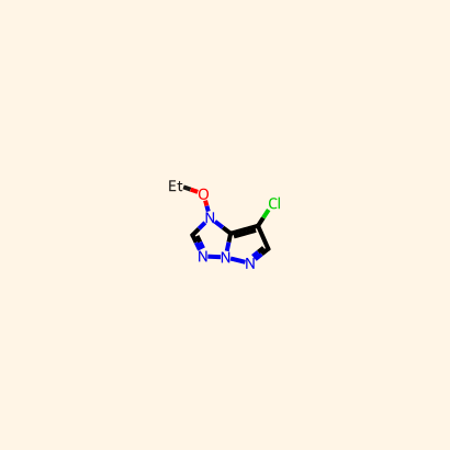 CCOn1cnn2ncc(Cl)c12